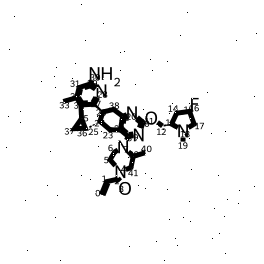 C=CC(=O)N1CCN(c2nc(OC[C@@H]3C[C@@H](F)CN3C)nc3c2C[C@H](C)[C@@H](c2nc(N)cc(C)c2C2CC2)C3)C(C)C1